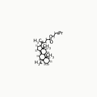 CC(C)CCOC(=O)CC[C@H](C)C1CCC2=C3CCC4(C)CCCC[C@]4(C)C3CC[C@@]21C